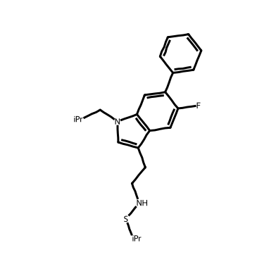 CC(C)Cn1cc(CCNSC(C)C)c2cc(F)c(-c3ccccc3)cc21